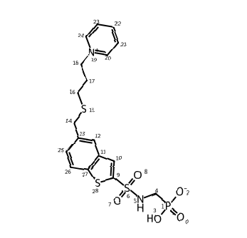 O=P([O-])(O)CNS(=O)(=O)c1cc2cc(CSCCC[n+]3ccccc3)ccc2s1